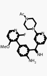 COc1ccnc(F)c1-c1ccc(N)c(C(=N)c2ccnc(N3CCN(C(C)=O)CC3)c2)c1